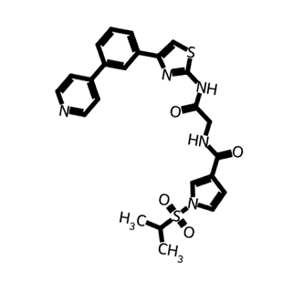 CC(C)S(=O)(=O)n1ccc(C(=O)NCC(=O)Nc2nc(-c3cccc(-c4ccncc4)c3)cs2)c1